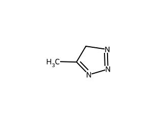 CC1=NN=NC1